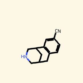 N#Cc1ccc2c(c1)C1CNCC(C2)C1